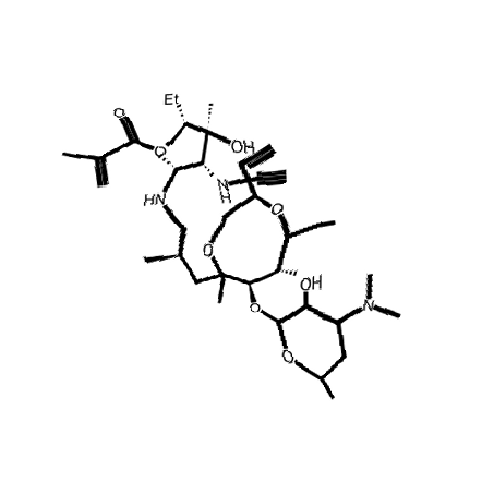 C#CN[C@H]([C@@H](C)NC[C@H](C)CC1(C)OCC(C=C)OC(C)[C@H](C)[C@H]1OC1OC(C)CC(N(C)C)C1O)[C@](C)(O)[C@@H](CC)OC(=O)C(=C)C